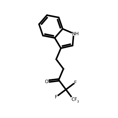 O=C([CH]Cc1c[nH]c2ccccc12)C(F)(F)C(F)(F)F